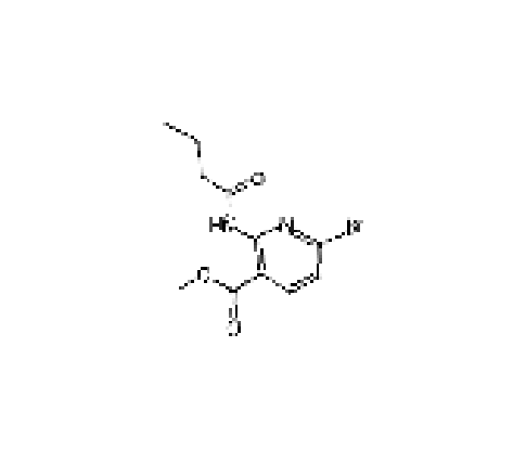 CCCC(=O)Nc1nc(Br)ccc1C(=O)OC